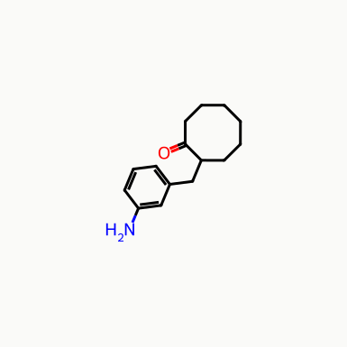 Nc1cccc(CC2CCCCCCC2=O)c1